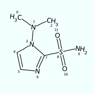 CN(C)n1ccnc1S(N)(=O)=O